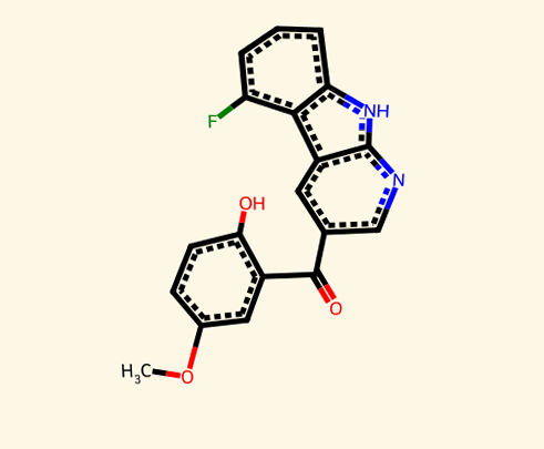 COc1ccc(O)c(C(=O)c2cnc3[nH]c4cccc(F)c4c3c2)c1